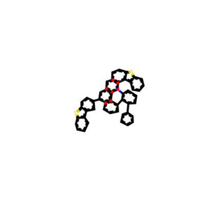 c1ccc(-c2ccccc2-c2c(-c3ccccc3)cccc2N(c2ccc(-c3ccc4sc5ccccc5c4c3)cc2)c2cccc3sc4ccccc4c23)cc1